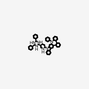 C1=CC(n2c3ccccc3c3cc4c(cc32)N(c2ccccc2)c2ccccc2-c2ccccc2-4)NC=C1C1NC(c2ccccc2)NC(c2ccccc2)N1